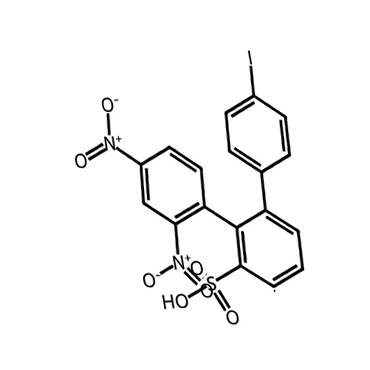 O=[N+]([O-])c1ccc(-c2c(S(=O)(=O)O)[c]ccc2-c2ccc(I)cc2)c([N+](=O)[O-])c1